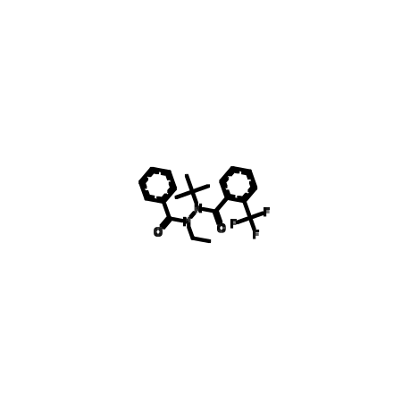 CCN(C(=O)c1ccccc1)N(C(=O)c1ccccc1C(F)(F)F)C(C)(C)C